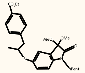 CCCCCN1C(=O)C(OC)(OC)c2cc(SC(C)Cc3ccc(C(=O)OCC)cc3)ccc21